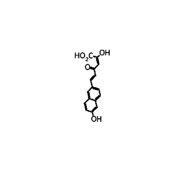 O=C(/C=C/c1ccc2cc(O)ccc2c1)/C=C(/O)C(=O)O